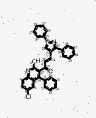 Cc1nc2ccc(Cl)cc2c(-c2ccccc2)c1C(=O)/C=C/c1cn(-c2ccccc2)nc1-c1ccccc1